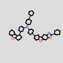 c1ccc(-c2ccc(N(c3ccc(-c4ccc5oc6cc7oc(-c8ccccc8)nc7cc6c5c4)cc3)c3cccc(-c4cccc5oc6ccccc6c45)c3)cc2)cc1